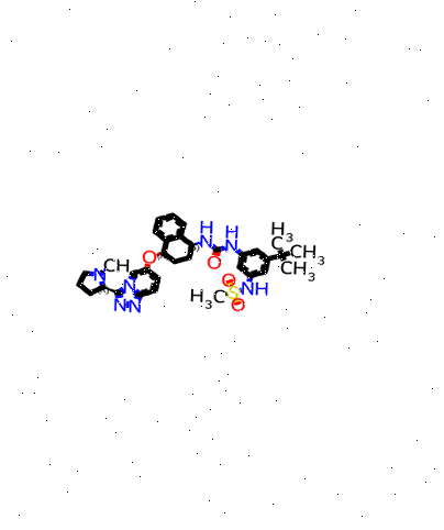 CN1CCC[C@@H]1c1nnc2ccc(O[C@@H]3CC[C@H](NC(=O)Nc4cc(NS(C)(=O)=O)cc(C(C)(C)C)c4)c4ccccc43)cn12